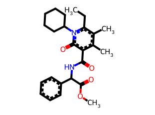 CCc1c(C)c(C)c(C(=O)NC(C(=O)OC)c2ccccc2)c(=O)n1C1CCCCC1